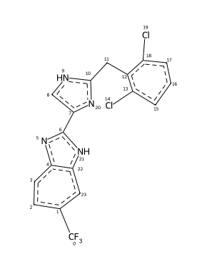 FC(F)(F)c1ccc2nc(-c3c[nH]c(Cc4c(Cl)cccc4Cl)n3)[nH]c2c1